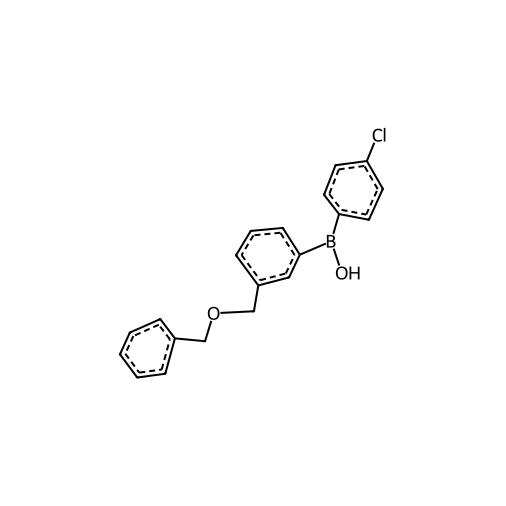 OB(c1ccc(Cl)cc1)c1cccc(COCc2ccccc2)c1